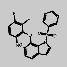 O=[N+]([O-])c1ccc(F)c(F)c1Oc1cccc2ccn(S(=O)(=O)c3ccccc3)c12